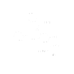 CC(C)C(N)C(O)c1cc(OCc2ccccc2)c(OCc2ccccc2)cc1Cl.Cl